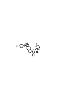 Cc1ccnc(C(O)C[C@]2(O)CCC3=Cc4c(cnn4-c4ccc(F)cc4)C[C@@]32C)c1